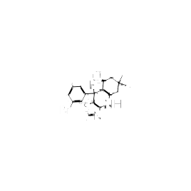 CCC1(c2cccc(Br)c2)C2=C(CC(C)(C)CC2=O)Nc2ncsc21